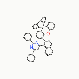 c1ccc(-c2cc(-c3c(-c4cccc5c4Oc4ccccc4C54c5ccccc5-c5ccccc54)ccc4ccccc34)nc(-c3ccccc3)n2)cc1